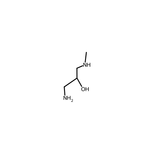 CNCC(O)CN